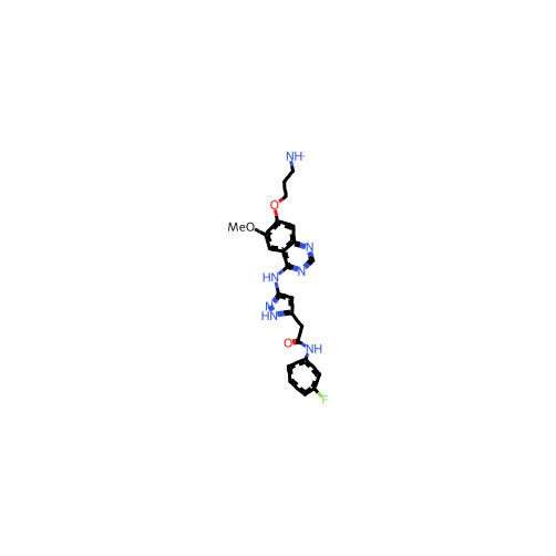 COc1cc2c(Nc3cc(CC(=O)Nc4cccc(F)c4)[nH]n3)ncnc2cc1OCCC[NH]